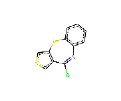 ClC1=Nc2ccccc2Sc2cscc21